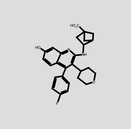 O=C(O)C12CC(C1)C(Nc1nc3cc(O)ccc3c(-c3ccc(F)cc3)c1C1CCOCC1)C2